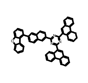 C1=Cc2c(-c3nc(-c4ccc5cc(-c6cccc7oc8ccccc8c67)ccc5c4)nc(-c4cc5ccccc5c5ccccc45)n3)cc3ccccc3c2CC1